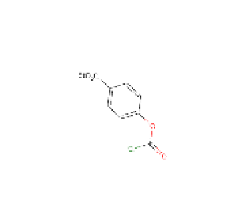 CCOC(=O)c1ccc(OC(=O)Cl)cc1